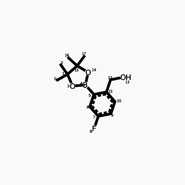 CC1(C)OB(c2cc(F)ccc2CO)OC1(C)C